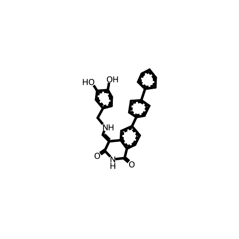 O=C1NC(=O)c2ccc(-c3ccc(-c4ccccc4)cc3)cc2/C1=C\NCc1ccc(O)c(O)c1